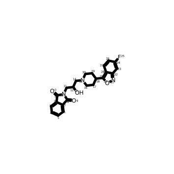 O=C1c2ccccc2C(=O)N1CC(O)CN1CCC(c2onc3cc(F)ccc23)CC1